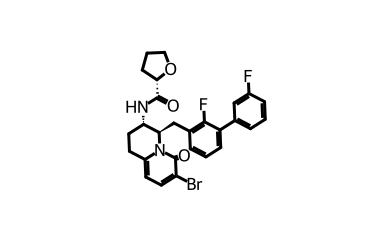 O=C(N[C@H]1CCc2ccc(Br)c(=O)n2[C@@H]1Cc1cccc(-c2cccc(F)c2)c1F)[C@@H]1CCCO1